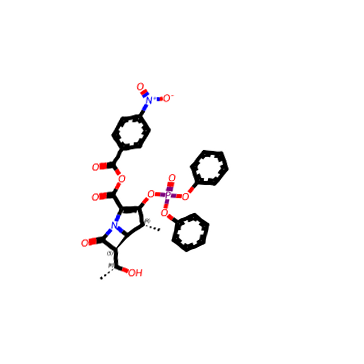 C[C@H]1C(OP(=O)(Oc2ccccc2)Oc2ccccc2)=C(C(=O)OC(=O)c2ccc([N+](=O)[O-])cc2)N2C(=O)[C@H]([C@@H](C)O)C12